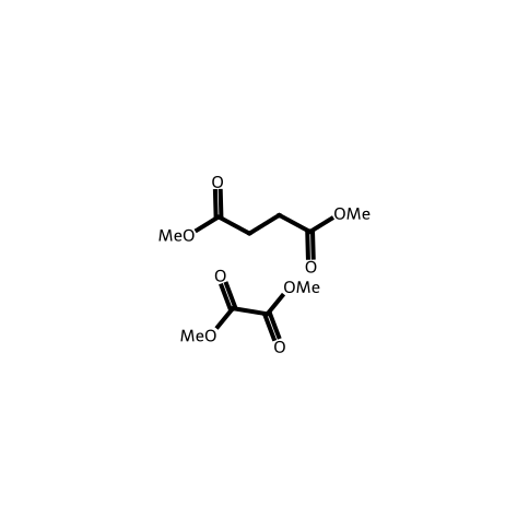 COC(=O)C(=O)OC.COC(=O)CCC(=O)OC